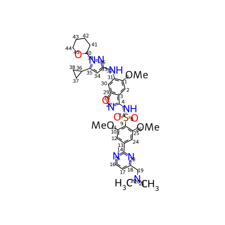 COc1cc2c(NS(=O)(=O)c3c(OC)cc(-c4nccc(CN(C)C)n4)cc3OC)noc2cc1Nc1cc(C2CC2)n(C2CCCCO2)n1